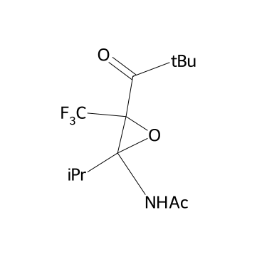 CC(=O)NC1(C(C)C)OC1(C(=O)C(C)(C)C)C(F)(F)F